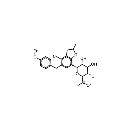 CCOc1ccc(Cc2cc([C@@H]3O[C@H]([S+](C)[O-])[C@@H](O)[C@H](O)[C@H]3O)c3c(c2Cl)CC(C)O3)cc1